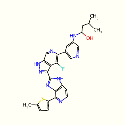 Cc1ccc(-c2nccc3[nH]c(-c4n[nH]c5cnc(-c6cncc(NC(O)CC(C)C)c6)c(F)c45)nc23)s1